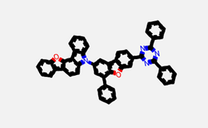 c1ccc(-c2nc(-c3ccccc3)nc(-c3ccc4c(c3)oc3c(-c5ccccc5)cc(-n5c6ccccc6c6c7oc8ccccc8c7ccc65)cc34)n2)cc1